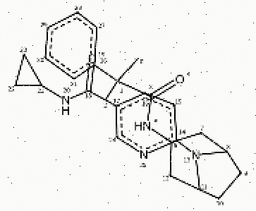 CC(C)(C(=O)NC1CC2CCC(C1)N2c1ccc(C(=O)NC2CC2)cn1)c1ccccc1